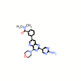 CN(C)C(=O)c1cccc(-c2cnc3c(N4CCOCC4)nc(-c4cnc(N)nc4)nc3c2)c1